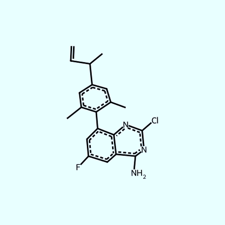 C=CC(C)c1cc(C)c(-c2cc(F)cc3c(N)nc(Cl)nc23)c(C)c1